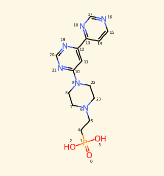 O=P(O)(O)CCN1CCN(c2cc(-c3ccncn3)ncn2)CC1